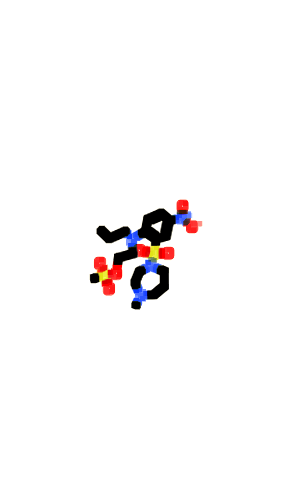 CCCN(CCOS(C)(=O)=O)c1ccc([N+](=O)[O-])cc1S(=O)(=O)N1CCCN(C)CC1